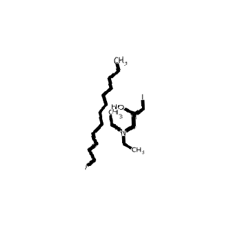 CCCCCCCCCCCCI.CCN(CC)CC(O)CI